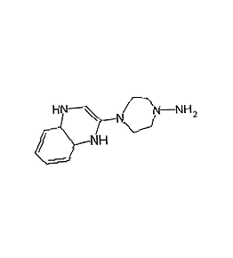 NN1CCN(C2=CNC3C=CC=CC3N2)CC1